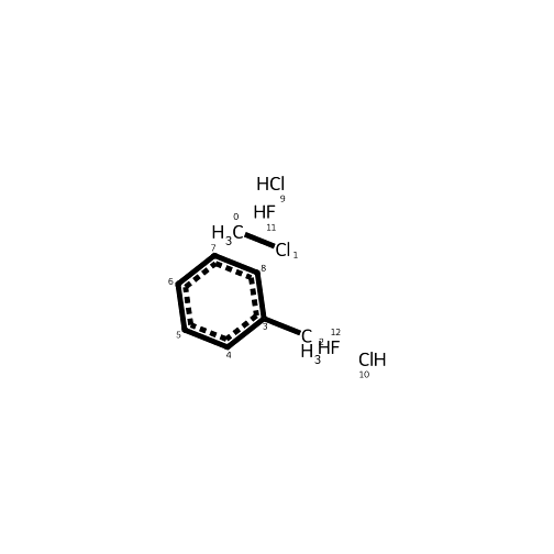 CCl.Cc1ccccc1.Cl.Cl.F.F